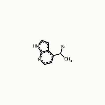 CC(Br)c1ccnc2[nH]ccc12